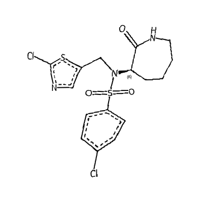 O=C1NCCCC[C@H]1N(Cc1cnc(Cl)s1)S(=O)(=O)c1ccc(Cl)cc1